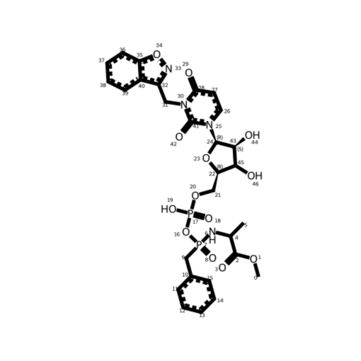 COC(=O)C(C)NP(=O)(Cc1ccccc1)OP(=O)(O)OC[C@H]1O[C@@H](n2ccc(=O)n(Cc3noc4ccccc34)c2=O)[C@@H](O)C1O